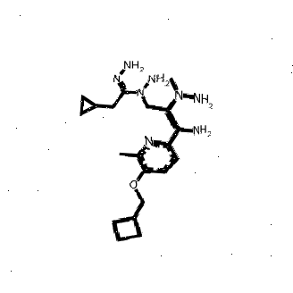 Cc1nc(/C(N)=C(\CN(N)/C(CC2CC2)=N\N)N(C)N)ccc1OCC1CCC1